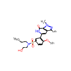 CCCOc1ccc(S(=O)(=O)N(CCO)CCOC)cc1-c1cc2c(CCC)nn(C)c2c(=O)[nH]1